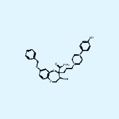 COC(=O)C1(CCCN2CCN(c3ccc(O)cc3)CC2)Sc2cc(OCc3ccccc3)ccc2OCC1O